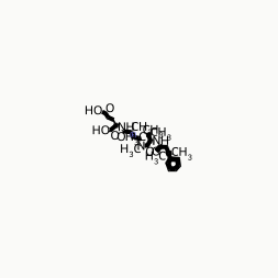 C/C(=C\CN(C)C(=O)[C@@H](NC(=O)CC(C)(C)c1ccccc1)C(C)(C)C)C(=O)N[C@H](CCC(=O)O)C(=O)O